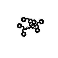 NC(COCN(Cc1ccccc1)Cc1ccccc1)(COCN(Cc1ccccc1)Cc1ccccc1)COCN(Cc1ccccc1)Cc1ccccc1